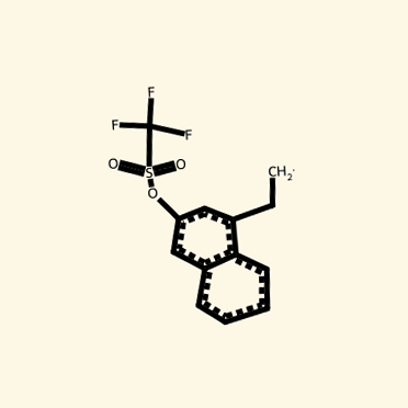 [CH2]Cc1cc(OS(=O)(=O)C(F)(F)F)cc2ccccc12